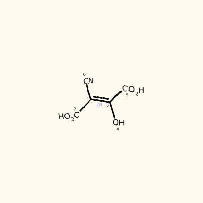 N#C/C(C(=O)O)=C(/O)C(=O)O